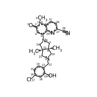 Cn1c(=O)cc(N2C[C@]3(C)CN(Cc4ccc(Cl)cc4O)C[C@]3(C)C2)c2nc(C#N)ccc21